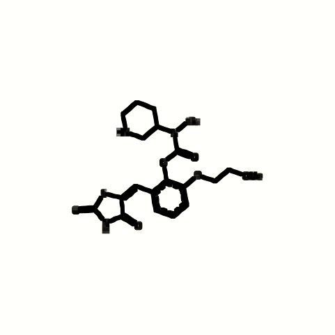 COCCOc1cccc(C=C2SC(=O)NC2=O)c1OC(=O)N(C1CCCNC1)C(C)(C)C